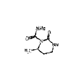 CNC(=O)N1C(=O)NCCC1C